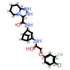 O=C(NC1CC(NC(O)COc2ccc(Cl)c(F)c2)C2CC1C2)C1NNC2CCCCN21